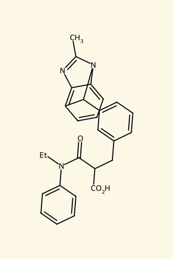 CCN(C(=O)C(Cc1cccc(C2c3cccc4c3nc(C)n42)c1)C(=O)O)c1ccccc1